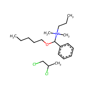 CC(Cl)CCl.CCCCCOC(c1ccccc1)[N+](C)(C)CCC